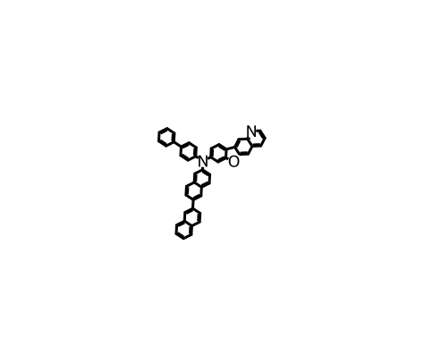 c1ccc(-c2ccc(N(c3ccc4cc(-c5ccc6ccccc6c5)ccc4c3)c3ccc4c(c3)oc3cc5cccnc5cc34)cc2)cc1